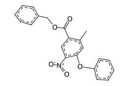 Cc1cc(Oc2ccccc2)c([N+](=O)[O-])cc1C(=O)OCc1ccccc1